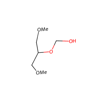 COCC(COC)OCO